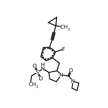 CCS(=O)(=O)NC1CCN(C(=O)N2CCC2)C1Cc1cccc(C#CC2(C)CC2)c1F